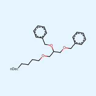 CCCCCCCCCCCCCCOCC(COCc1ccccc1)OCc1ccccc1